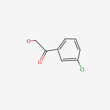 [O]CC(=O)c1cccc(Cl)c1